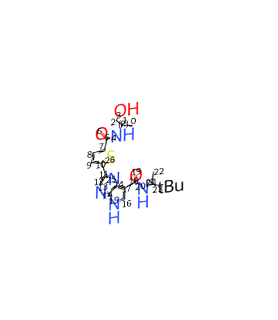 C[C@H](CO)NC(=O)c1ccc(-c2cnc3[nH]cc(C(=O)N[C@@H](C)C(C)(C)C)c3n2)s1